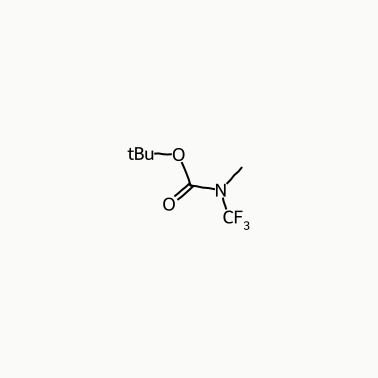 CN(C(=O)OC(C)(C)C)C(F)(F)F